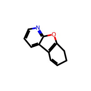 C1=Cc2c(oc3ncccc23)CC1